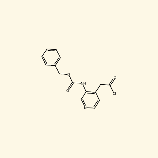 O=C(Cl)Cc1ccncc1NC(=O)OCc1ccccc1